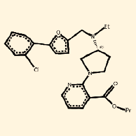 CCN(Cc1ccc(-c2ccccc2Cl)o1)[C@@H]1CCN(c2ncccc2C(=O)OC(C)C)C1